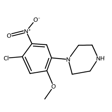 COc1cc(Cl)c([N+](=O)[O-])cc1N1CCNCC1